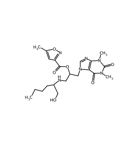 CCCCC(CO)NCC(Cn1cnc2c1c(=O)n(C)c(=O)n2C)OC(=O)c1cc(C)on1